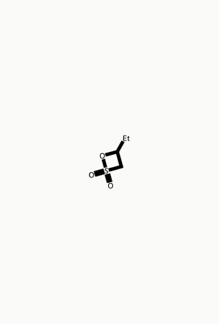 CCC1CS(=O)(=O)O1